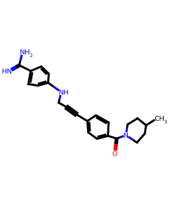 CC1CCN(C(=O)c2ccc(C#CCNc3ccc(C(=N)N)cc3)cc2)CC1